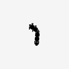 CC1COC(C2CCC(C3CCC(C(F)(F)Oc4cc(F)c(-c5cc(F)c(F)c(F)c5)c(F)c4)CC3)CC2)OC1